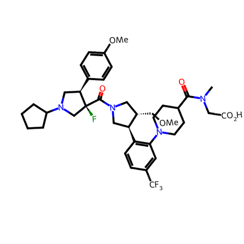 COC[C@H]1CN(C(=O)[C@]2(F)CN(C3CCCC3)C[C@H]2c2ccc(OC)cc2)C[C@@H]1c1ccc(C(F)(F)F)cc1N1CCC(C(=O)N(C)CC(=O)O)CC1